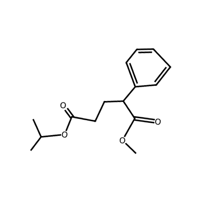 COC(=O)C(CCC(=O)OC(C)C)c1ccccc1